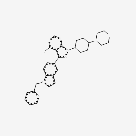 Nc1ncnc2c1c(-c1ccc3c(ccn3Cc3ccccn3)c1)nn2C1CCC(N2CCOCC2)CC1